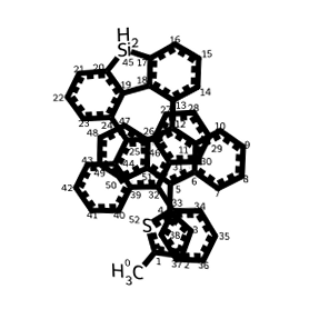 Cc1ccc(-c2c3ccccc3c(-c3cccc4c3-c3c(cccc3-c3c5ccccc5c(-c5ccccc5)c5ccccc35)[SiH2]4)c3ccccc23)s1